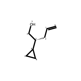 C=CC[C@@H](CO)C1CC1